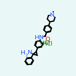 CN1CCC(c2ccc(C(=O)Nc3ccc(C4CC4(N)c4ccccc4)cc3)cc2)CC1.Cl.Cl